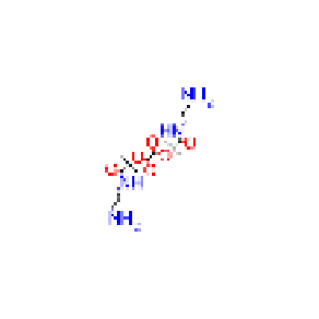 CC(C)(OC(=O)C(=O)OC(C)(C)C(=O)NCCCN)C(=O)NCCCN